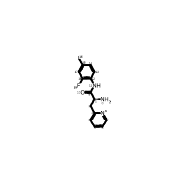 N[C@@H](Cc1ccccn1)C(=O)Nc1ccc(I)cc1F